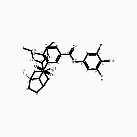 CCOC(OCC)[C@]1(O)CC2CC[C@@H](C1)C2S(=O)(=O)c1cc(C(=O)Nc2cc(F)c(F)c(F)c2)ccc1Cl